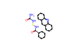 NC(=O)NSNC(=O)c1ccccc1.c1ccc2nc3ccccc3cc2c1